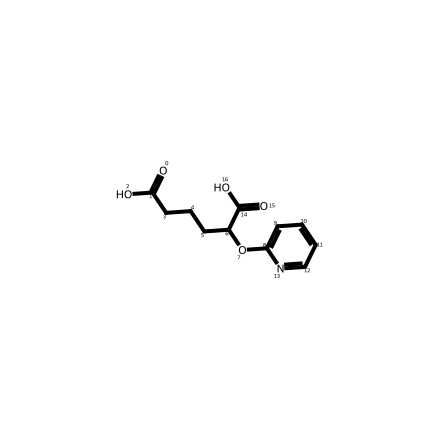 O=C(O)CCCC(Oc1ccccn1)C(=O)O